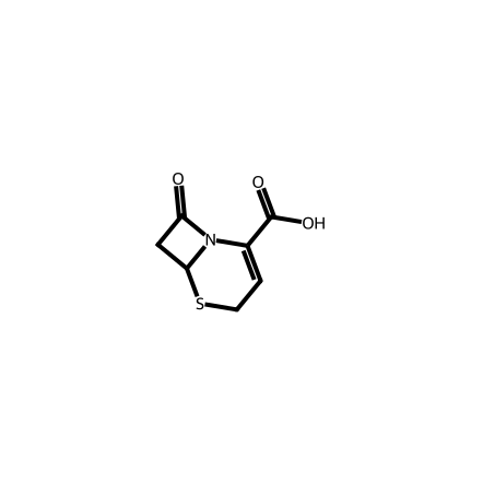 O=C(O)C1=CCSC2CC(=O)N12